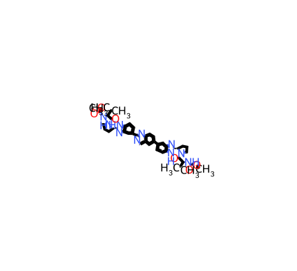 COC(=O)N[C@H](C(=O)N1CCC[C@H]1c1nc2cc(-c3ccc4nc(-c5ccc6[nH]c([C@@H]7CCCN7C(=O)[C@@H](NC(=O)OC)C(C)C)nc6c5)ncc4c3)ccc2[nH]1)C(C)C